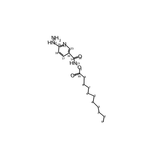 CCCCCCCCCCC(=O)ONC(=O)c1ccc(NN)nc1